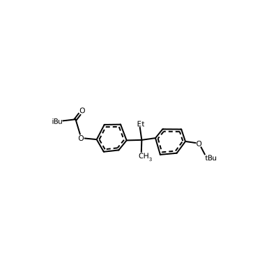 CCC(C)C(=O)Oc1ccc(C(C)(CC)c2ccc(OC(C)(C)C)cc2)cc1